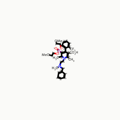 COCCOP(=O)(OCCOC)C1=C(c2ccccc2C(F)(F)F)C(C(=O)O)=C(C)N(CCN(C)Cc2ccccc2)C1C